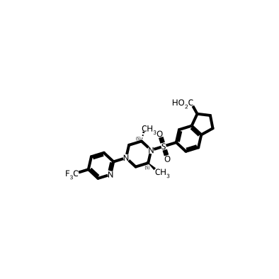 C[C@H]1CN(c2ccc(C(F)(F)F)cn2)C[C@H](C)N1S(=O)(=O)c1ccc2c(c1)C(C(=O)O)CC2